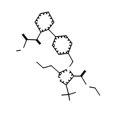 CCCc1nc(C(C)(C)O)c(C(=O)OCC)n1Cc1ccc(-c2ccccc2C(=O)C(=O)OC)cc1